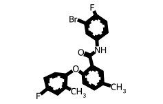 Cc1ccc(Oc2ccc(F)cc2C)c(C(=O)Nc2ccc(F)c(Br)c2)c1